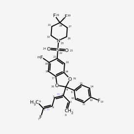 C=C/C(=C\C=C(/C)F)C1(c2ccc(F)cc2)Oc2cc(F)c(S(=O)(=O)N3CCC(F)(F)CC3)cc2O1